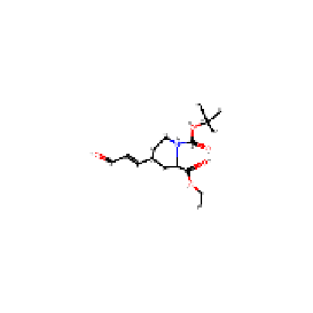 CCOC(=O)C1CC(/C=C/C=O)CCN1C(=O)OC(C)(C)C